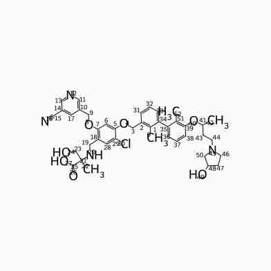 Cc1c(COc2cc(OCc3cncc(C#N)c3)c(CNC(C)(CO)C(=O)O)cc2Cl)cccc1-c1cccc(OC(C)CCN2CCC(O)C2)c1C